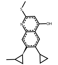 CSc1cc(O)c2cc(C3CC3)c([C@H]3CC3C)cc2n1